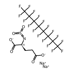 FC(F)(F)C(F)(F)C(F)(F)C(F)(F)C(F)(F)C(F)(F)C(F)(F)C(F)(F)F.O=C([O-])CC[C@H](N=S(=O)=O)C(=O)[O-].[Na+].[Na+]